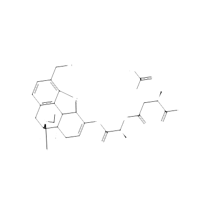 CC(=O)O[C@@H](C(=O)O[C@@H](C)C(=O)OC1=CC[C@@]2(O)[C@H]3Cc4ccc(CO)c5c4[C@@]2(CCN3C)[C@H]1O5)[C@@H](C)C(C)=O